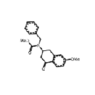 COC(=O)N(Cc1ccccc1)C1CC(=O)c2ccc(OC)cc2C1